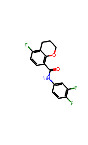 O=C(Nc1ccc(F)c(F)c1)c1ccc(F)c2c1OCCC2